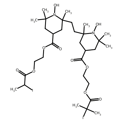 CC(I)C(=O)OCCOC(=O)C1CC(C)(C)N(O)C(C)(CCC2(C)CC(C(=O)OCCOC(=O)C(C)(C)I)CC(C)(C)N2O)C1